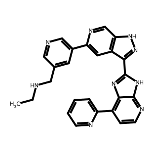 CCNCc1cncc(-c2cc3c(-c4nc5c(-c6ccccn6)ccnc5[nH]4)n[nH]c3cn2)c1